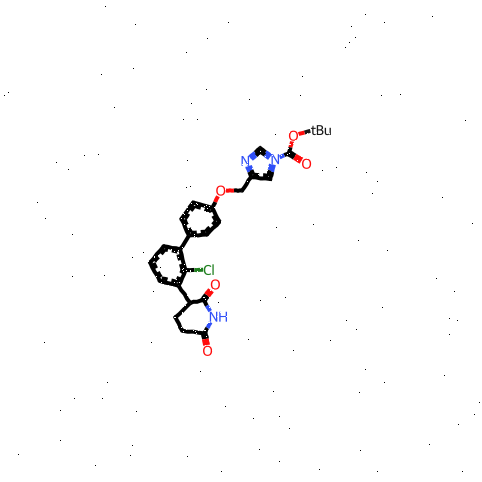 CC(C)(C)OC(=O)n1cnc(COc2ccc(-c3cccc(C4CCC(=O)NC4=O)c3Cl)cc2)c1